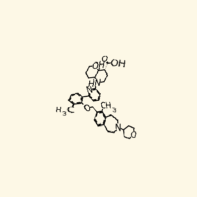 Cc1cccc(-c2cccc(N3CC[C@@H](C(=O)O)[C@H]4OCCC[C@@H]43)n2)c1OCc1ccc2c(c1C)CCN(C1CCOCC1)CC2